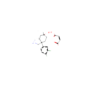 CN(C)CC1(c2ccc(Cl)c(Cl)c2)CCC(C)(O)CC1.O=C(O)/C=C\C(=O)O